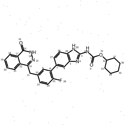 O=C(Nc1nc2cc(-c3cc(Cc4n[nH]c(=O)c5ccccc45)ccc3F)ccc2[nH]1)OC1CCCCC1